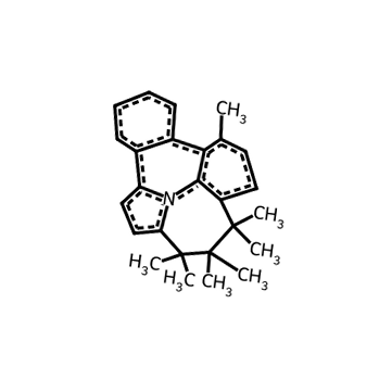 Cc1ccc2c3c1c1ccccc1c1ccc(n13)C(C)(C)C(C)(C)C2(C)C